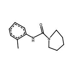 Cc1ccccc1NC(=O)N1CCCCC1